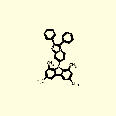 Cc1cc(C)c2c(c1)c1cc(C)cc(C)c1n2-c1ccn2c(-c3ccccc3)c(-c3ccccc3)nc2c1